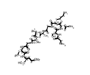 CC[C@H](C)[C@H](NC(=O)[C@H](C)NC(=O)CNC(=O)[C@H](CCCCN)NC(=O)[C@H](CC(N)=O)NC(=O)[C@H](CO)NC(=O)CN)C(=O)N[C@H](C(=O)NCC(=O)N[C@@H](CC(C)C)C(=O)N[C@@H](CCSC)C(=O)O)[C@@H](C)CC